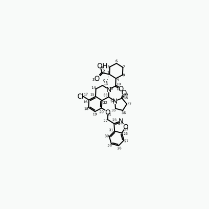 C[C@]1(C(=O)O)CCCCC1C(=O)N1CCc2c(Cl)ccc(OCc3noc4ccccc34)c2C1N1CCCC1=O